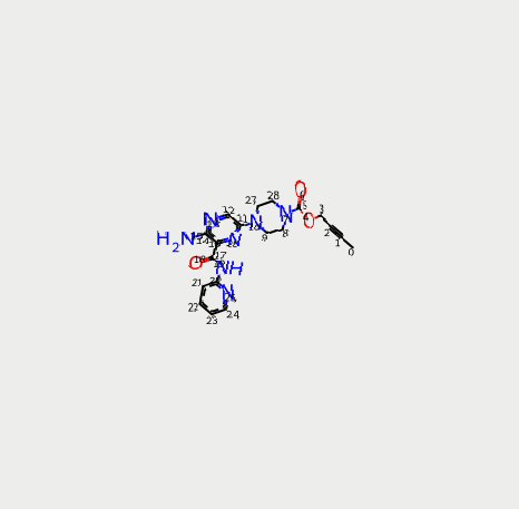 CC#CCOC(=O)N1CCN(c2cnc(N)c(C(=O)Nc3ccccn3)n2)CC1